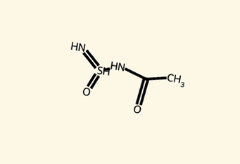 CC(=O)N[SH](=N)=O